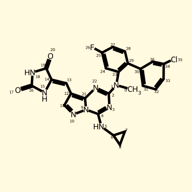 CN(c1nc(NC2CC2)n2ncc(/C=C3\NC(=O)NC3=O)c2n1)c1cc(F)ccc1-c1cccc(Cl)c1